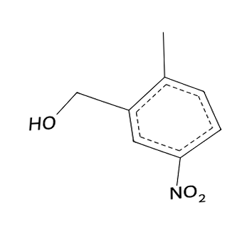 Cc1ccc([N+](=O)[O-])cc1CO